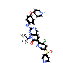 CC(C)n1c(=O)c(-c2ncc([S+]([O-])c3ccncc3)cc2Cl)cc2cnc(Nc3ccc(OC4CCNCC4)cc3)nc21